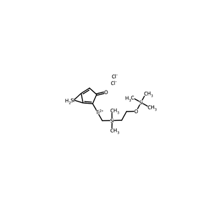 C[Si](C)(CCO[Si](C)(C)C)[CH2][Ti+2][C]1=C2[SiH2]C2=CC1=O.[Cl-].[Cl-]